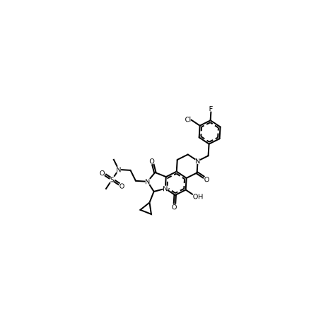 CN(CCN1C(=O)c2c3c(c(O)c(=O)n2C1C1CC1)C(=O)N(Cc1ccc(F)c(Cl)c1)CC3)S(C)(=O)=O